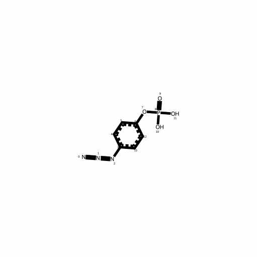 [N-]=[N+]=Nc1ccc(OP(=O)(O)O)cc1